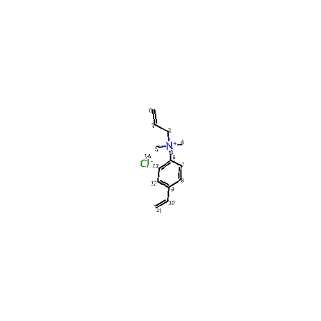 C=CC[N+](C)(C)c1ccc(C=C)cc1.[Cl-]